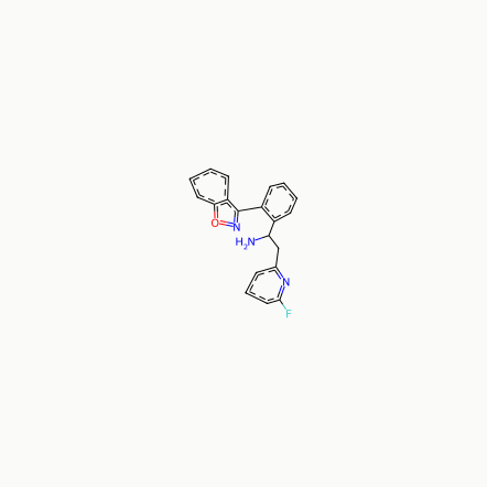 NC(Cc1cccc(F)n1)c1ccccc1-c1noc2ccccc12